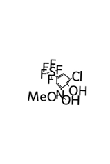 CON(O)c1cc(S(F)(F)(F)(F)F)cc(Cl)c1O